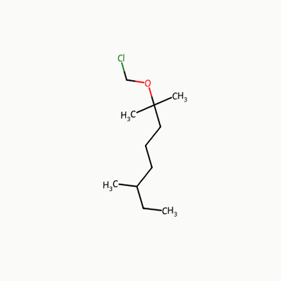 CCC(C)CCCC(C)(C)OCCl